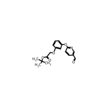 CC(C)(C)OC(=O)COc1cccc(Oc2ccc(C=O)cn2)c1